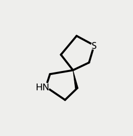 C1C[C@]2(CCSC2)CN1